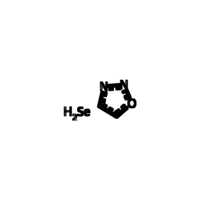 [SeH2].c1conn1